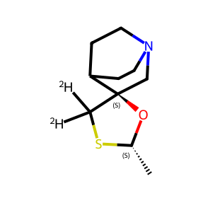 [2H]C1([2H])S[C@@H](C)O[C@@]12CN1CCC2CC1